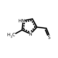 Cc1nc(C=S)c[nH]1